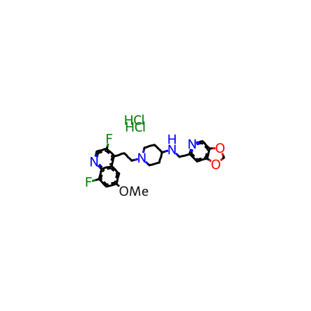 COc1cc(F)c2ncc(F)c(CCN3CCC(NCc4cc5c(cn4)OCO5)CC3)c2c1.Cl.Cl